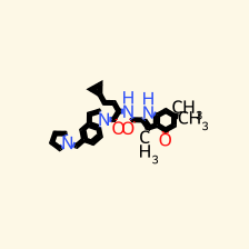 Cc1c(C(=O)NC(CCC2CC2)C(=O)N2CCc3cc(CN4CCCC4)ccc32)[nH]c2c1C(=O)CC(C)(C)C2